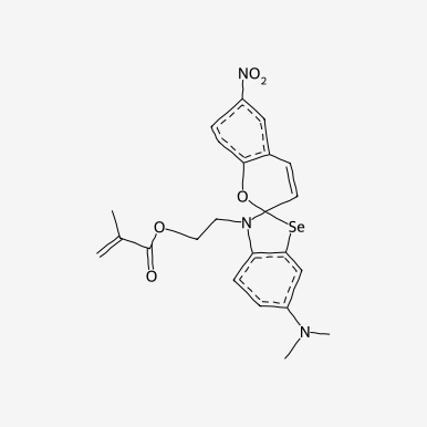 C=C(C)C(=O)OCCN1c2ccc(N(C)C)cc2[Se]C12C=Cc1cc([N+](=O)[O-])ccc1O2